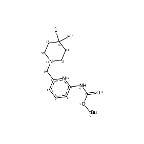 CC(C)(C)OC(=O)Nc1cccc(CN2CCC(F)(F)CC2)n1